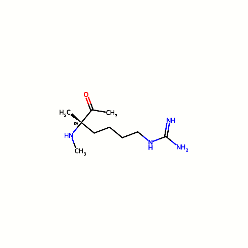 CN[C@@](C)(CCCCNC(=N)N)C(C)=O